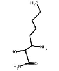 CCCCCC(N)C(O)C(N)=O